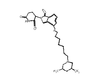 CC1CC(C)CN(CCCCCCCSc2cccc3c2CN(C2CCC(=O)NC2=O)C3=O)C1